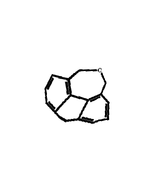 c1cc2c3c(c1)Cc1cccc(c1-3)COC2